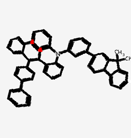 CC1(C)C2=CC(c3cccc(N(c4ccccc4)c4ccccc4-c4ccc5ccccc5c4-c4ccc(-c5ccccc5)cc4)c3)=CCC2c2ccccc21